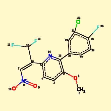 COc1ccc(/C(=C\[N+](=O)[O-])C(F)F)nc1-c1ccc(F)c(Cl)c1